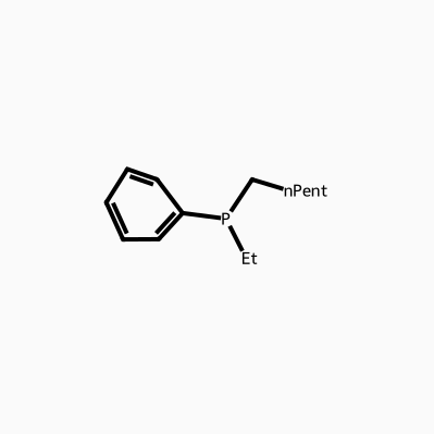 CCCCCCP(CC)c1ccccc1